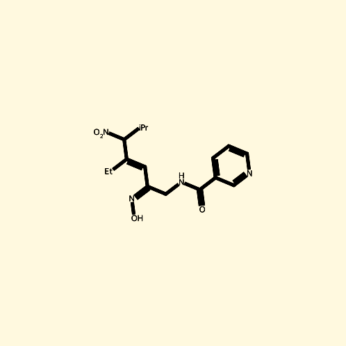 CC/C(=C\C(CNC(=O)c1cccnc1)=N\O)C(C(C)C)[N+](=O)[O-]